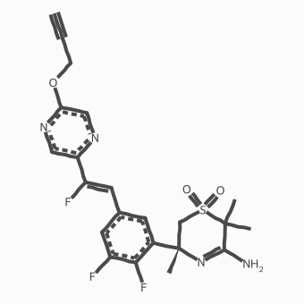 C#CCOc1cnc(/C(F)=C/c2cc(F)c(F)c([C@]3(C)CS(=O)(=O)C(C)(C)C(N)=N3)c2)cn1